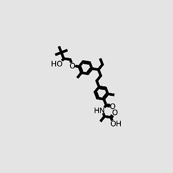 CCC(CCc1ccc(C(=O)NC(C)C(=O)O)c(C)c1)c1ccc(OCC(O)C(C)(C)C)c(C)c1